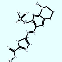 CCCCN1CCCc2cc(N=Nc3nnc(C(=O)OC(C)CC)s3)c(NS(=O)(=O)C(F)(F)F)cc21